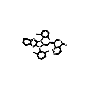 Cc1cccc(C)c1N1C(=C/C=C2/C=NC(=O)c3ccnnc32)N(c2c(C)cccc2C)c2nc3ccccc3nc21